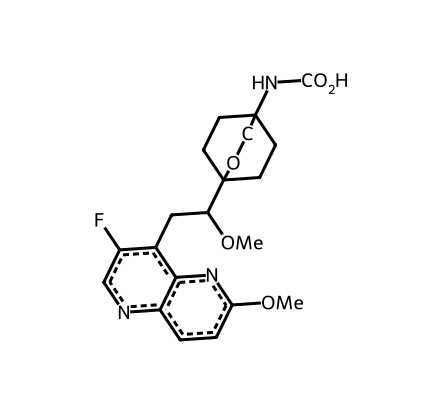 COc1ccc2ncc(F)c(CC(OC)C34CCC(NC(=O)O)(CC3)CO4)c2n1